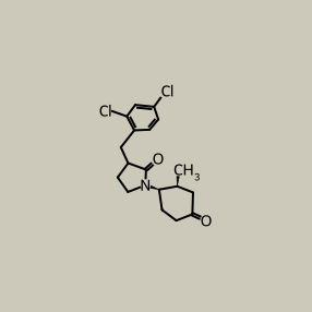 C[C@H]1CC(=O)CC[C@H]1N1CCC(Cc2ccc(Cl)cc2Cl)C1=O